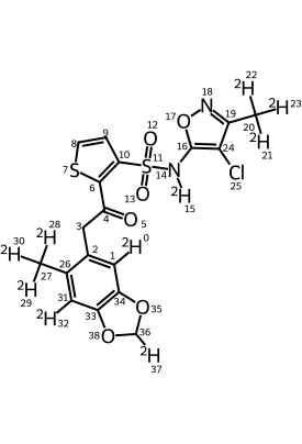 [2H]c1c(CC(=O)c2sccc2S(=O)(=O)N([2H])c2onc(C([2H])([2H])[2H])c2Cl)c(C([2H])([2H])[2H])c([2H])c2c1OC([2H])O2